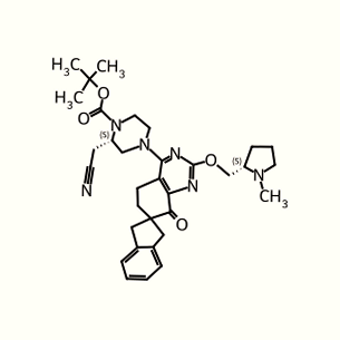 CN1CCC[C@H]1COc1nc2c(c(N3CCN(C(=O)OC(C)(C)C)[C@@H](CC#N)C3)n1)CCC1(Cc3ccccc3C1)C2=O